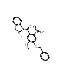 COc1cc(C(=O)N2c3ccccc3C[C@H]2C)c([N+](=O)[O-])cc1OCc1ccccc1